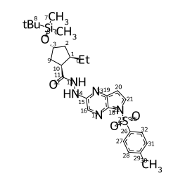 CC[C@@H]1C[C@@H](O[Si](C)(C)C(C)(C)C)C[C@@H]1C(=O)NNc1cnc2c(ccn2S(=O)(=O)c2ccc(C)cc2)n1